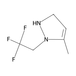 CC1=CCNN1CC(F)(F)F